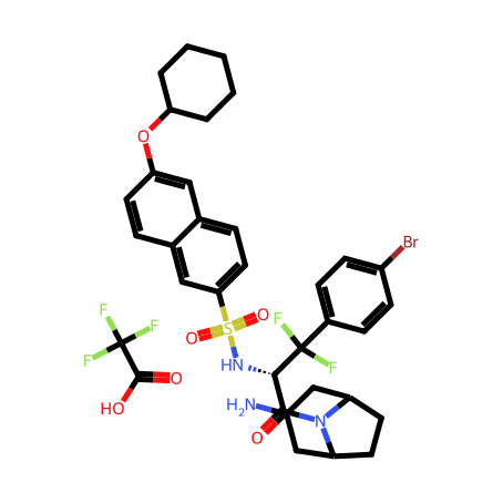 NC1CC2CCC(C1)N2C(=O)[C@H](NS(=O)(=O)c1ccc2cc(OC3CCCCC3)ccc2c1)C(F)(F)c1ccc(Br)cc1.O=C(O)C(F)(F)F